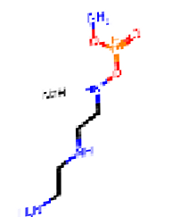 NCCNCCNO[PH](=O)ON.[NaH]